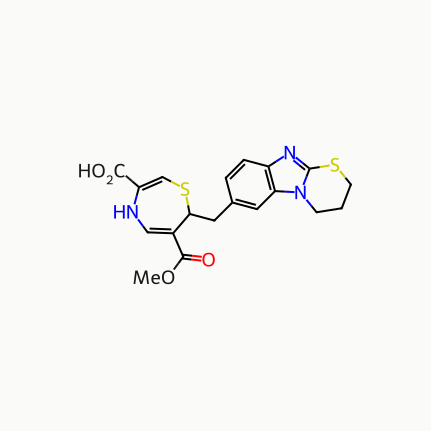 COC(=O)C1=CNC(C(=O)O)=CSC1Cc1ccc2nc3n(c2c1)CCCS3